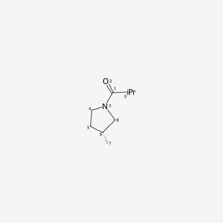 CC(C)C(=O)N1CC[C@@H](C)C1